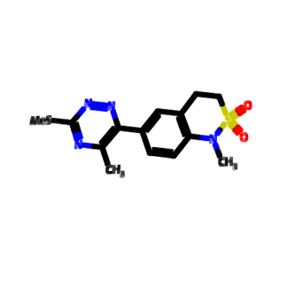 CSc1nnc(-c2ccc3c(c2)CCS(=O)(=O)N3C)c(C)n1